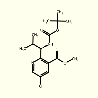 COC(=O)c1cc(Cl)cnc1[C@H](NC(=O)OC(C)(C)C)C(C)C